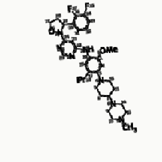 COc1cc(N2CCC(N3CCN(C)CC3)CC2)c(C(C)C)cc1Nc1cc(N2OCCC2c2cccc(F)c2F)ncn1